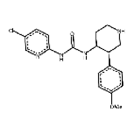 COc1ccc([C@@H]2CNCCC2NC(=O)Nc2ccc(Cl)cn2)cc1